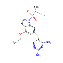 CCOc1cc(Cc2cnc(N)nc2N)cc2c1ccn2S(=O)(=O)N(C)C